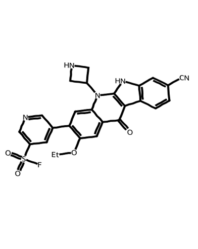 CCOc1cc2c(=O)c3c4ccc(C#N)cc4[nH]c3n(C3CNC3)c2cc1-c1cncc(S(=O)(=O)F)c1